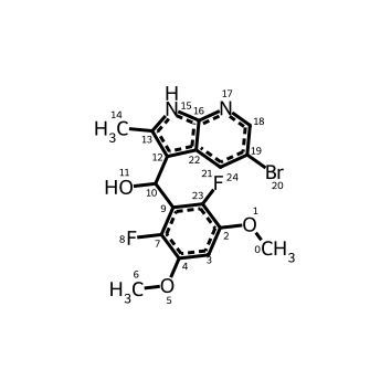 COc1cc(OC)c(F)c(C(O)c2c(C)[nH]c3ncc(Br)cc23)c1F